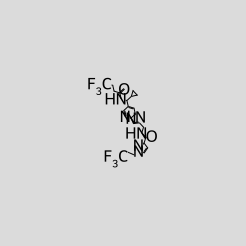 O=C(CCC(F)(F)F)NC(c1cnn2cc(CNC(=O)c3ccn(CCC(F)(F)F)n3)nc2c1)C1CC1